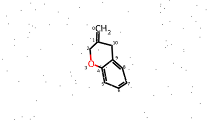 C=C1COc2ccccc2C1